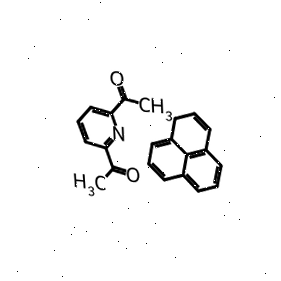 C1=Cc2cccc3cccc(c23)C1.CC(=O)c1cccc(C(C)=O)n1